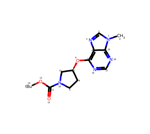 Cn1cnc2c(O[C@H]3CCN(C(=O)OC(C)(C)C)C3)ncnc21